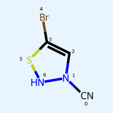 N#CN1C=C(Br)SN1